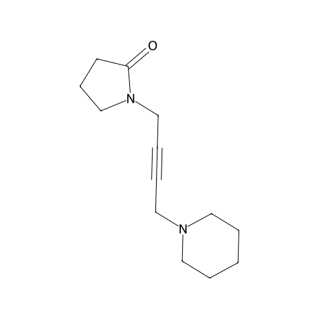 O=C1CCCN1CC#CCN1CCCCC1